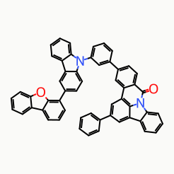 O=c1c2ccc(-c3cccc(-n4c5ccccc5c5cc(-c6cccc7c6oc6ccccc67)ccc54)c3)cc2c2cc(-c3ccccc3)cc3c4ccccc4n1c23